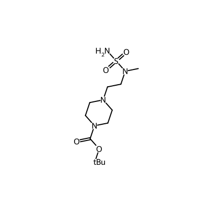 CN(CCN1CCN(C(=O)OC(C)(C)C)CC1)S(N)(=O)=O